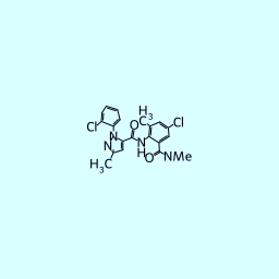 CNC(=O)c1cc(Cl)cc(C)c1NC(=O)c1cc(C)nn1-c1ccccc1Cl